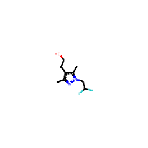 Cc1nn(CC(F)F)c(C)c1CCO